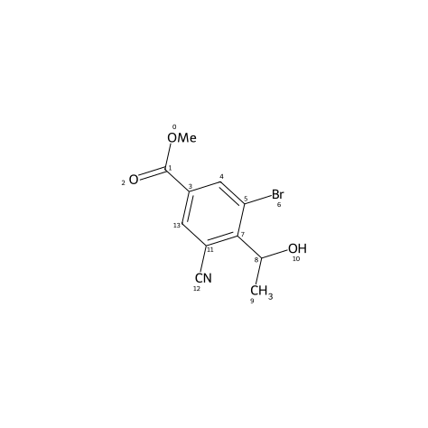 COC(=O)c1cc(Br)c(C(C)O)c(C#N)c1